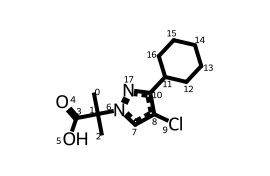 CC(C)(C(=O)O)n1cc(Cl)c(C2CCCCC2)n1